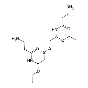 CCOC(CSSCC(NC(=O)CCN)OCC)NC(=O)CCN